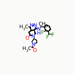 CC(=O)N1CCC(n2cc3c(N[C@H](C)c4cccc(C(F)F)c4F)nnc(C)c3cc2=O)C1